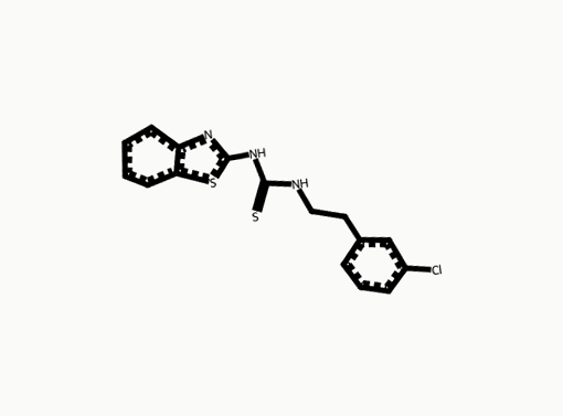 S=C(NCCc1cccc(Cl)c1)Nc1nc2ccccc2s1